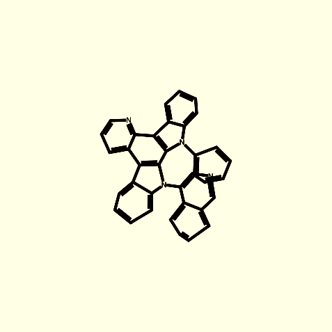 c1ccc(-n2c3ccccc3c3c4ncccc4c4c5ccccc5n(-c5cncc6ccccc56)c4c32)cc1